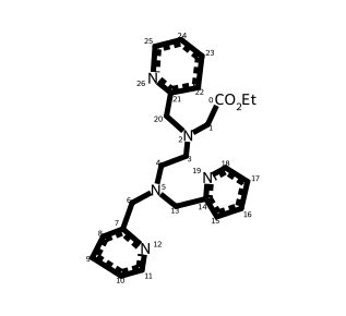 CCOC(=O)CN(CCN(Cc1ccccn1)Cc1ccccn1)Cc1ccccn1